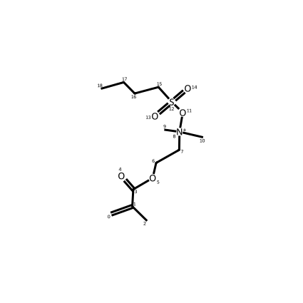 C=C(C)C(=O)OCC[N+](C)(C)OS(=O)(=O)CCCC